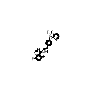 Fc1ccc(F)c2c(NCCc3ccc(Oc4ncccc4C(F)(F)F)cc3)ncnc12